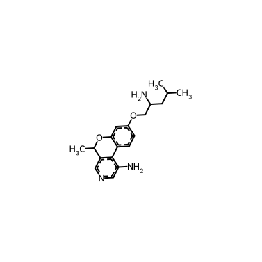 CC(C)CC(N)COc1ccc2c(c1)OC(C)c1cncc(N)c1-2